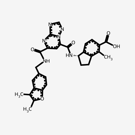 Cc1oc2ccc(CNC(=O)c3cc(C(=O)N[C@H]4CCc5c4ccc(C(=O)O)c5C)n4ncnc4n3)cc2c1C